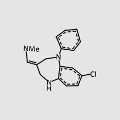 CNC=C1CNc2ccc(Cl)cc2N(c2ccccc2)C1